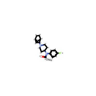 COC(=O)N(c1ccc(F)cc1)C1CCN(C2CC3CCC2C3)CC1